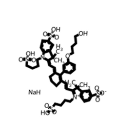 CC1(C)C(=CC=C2CCCC(C=CC3=[N+](CCCCS(=O)(=O)O)c4ccc(S(=O)(=O)[O-])cc4C3(C)C)=C2c2cccc(OCCCCO)c2)N(CCCCS(=O)(=O)O)c2ccc(S(=O)(=O)O)cc21.[NaH]